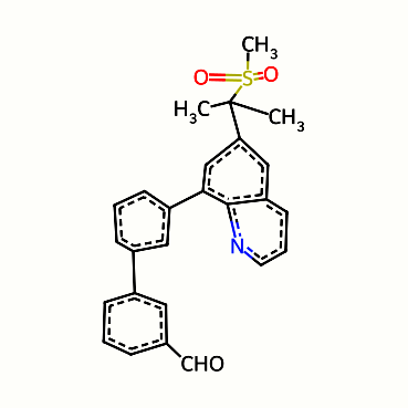 CC(C)(c1cc(-c2cccc(-c3cccc(C=O)c3)c2)c2ncccc2c1)S(C)(=O)=O